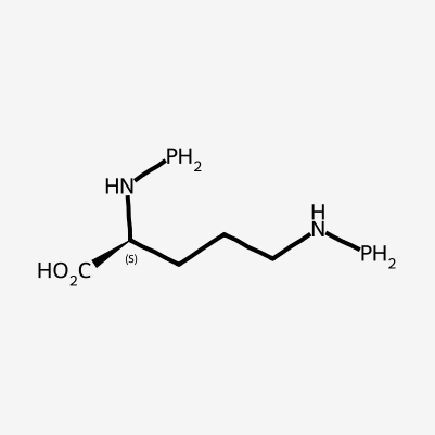 O=C(O)[C@H](CCCNP)NP